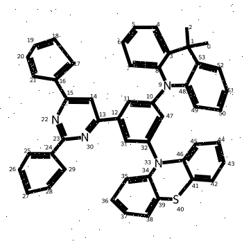 CC1(C)c2ccccc2N(c2cc(-c3cc(-c4ccccc4)nc(-c4ccccc4)n3)cc(N3c4ccccc4Sc4ccccc43)c2)c2ccccc21